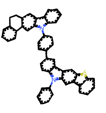 c1ccc(-n2c3ccc(-c4ccc(-n5c6ccccc6c6cc7c(cc65)-c5ccccc5CC7)cc4)cc3c3cc4sc5ccccc5c4cc32)cc1